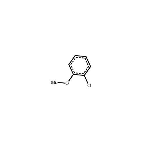 CC(C)(C)Oc1ccc[c]c1Cl